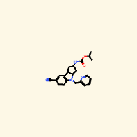 CC(C)OC(=O)N[C@H]1CC2c3cc(C#N)ccc3N(Cc3ccccn3)C2C1